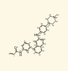 C=CC(=O)Nc1cncc(-c2cccc3cnc(Nc4ccc(N5CCN(C)CC5)cc4)nc23)n1